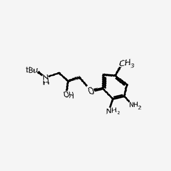 Cc1cc(N)c(N)c(OCC(O)CNC(C)(C)C)c1